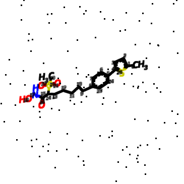 Cc1ccc(-c2ccc(CCCCCC(C(=O)NO)S(C)(=O)=O)cc2)s1